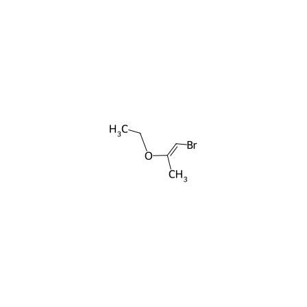 CCOC(C)=CBr